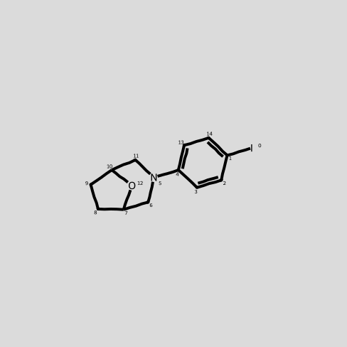 Ic1ccc(N2CC3CCC(C2)O3)cc1